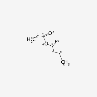 C=CC(=O)OC(F)CCC